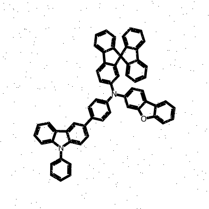 c1ccc(-n2c3ccccc3c3cc(-c4ccc(N(c5ccc6c(c5)C5(c7ccccc7-c7ccccc75)c5ccccc5-6)c5ccc6c(c5)oc5ccccc56)cc4)ccc32)cc1